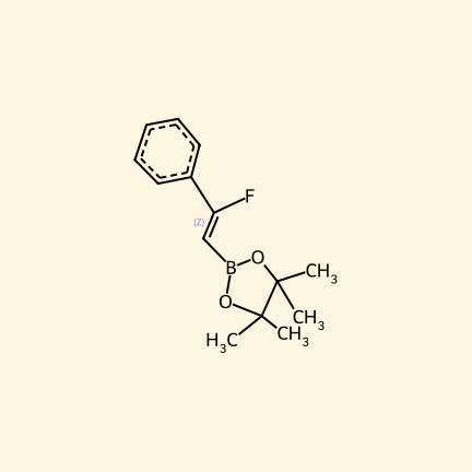 CC1(C)OB(/C=C(\F)c2ccccc2)OC1(C)C